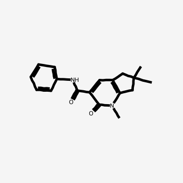 Cn1c2c(cc(C(=O)Nc3ccccc3)c1=O)CC(C)(C)C2